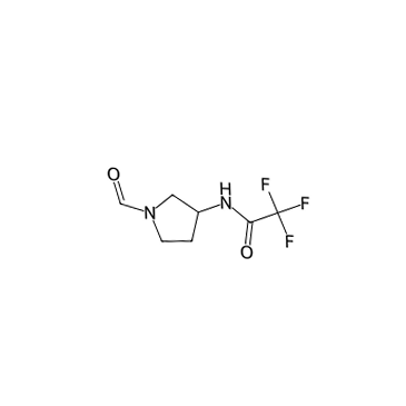 O=CN1CCC(NC(=O)C(F)(F)F)C1